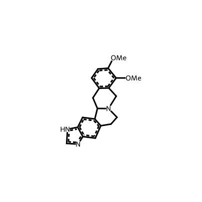 COc1ccc2c(c1OC)CN1CCc3cc4nc[nH]c4cc3C1C2